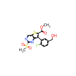 COC(=O)c1sc2cnc(S(C)(=O)=O)nc2c1-c1cc(CO)ccc1F